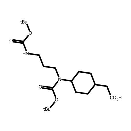 CC(C)(C)OC(=O)NCCCN(C(=O)OC(C)(C)C)C1CCC(CC(=O)O)CC1